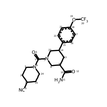 N#CC1CCN(C(=O)N2CC(C(N)=O)CC(c3ccc(OC(F)(F)F)cc3)C2)CC1